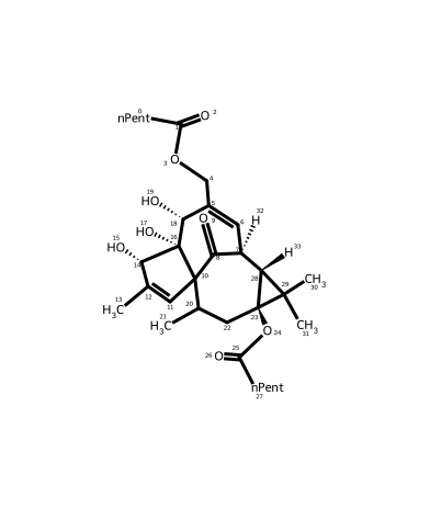 CCCCCC(=O)OCC1=C[C@@H]2C(=O)C3(C=C(C)[C@H](O)[C@@]3(O)[C@@H]1O)C(C)C[C@]1(OC(=O)CCCCC)[C@H]2C1(C)C